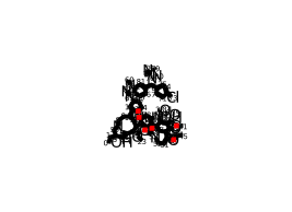 CC[C@]1(O)C[C@H]2CN(CCc3c([nH]c4ccccc34)[C@@](C(=O)OC)(c3cc4c(cc3OC)N(C=O)[C@H]3[C@@](O)(C(=O)OC)[C@H](OC(C)=O)[C@]5(CC)C=CCN6CC[C@]43[C@@H]65)C2)C1.Cn1nnc2ccc([C@H](c3ccc(Cl)cc3)n3cncn3)cc21